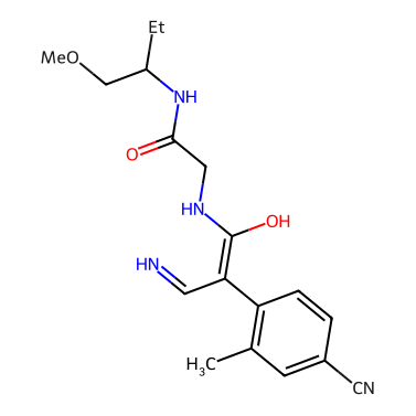 CCC(COC)NC(=O)CN/C(O)=C(\C=N)c1ccc(C#N)cc1C